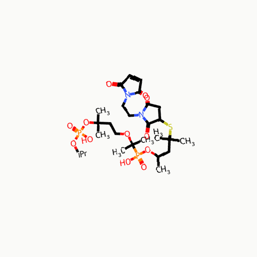 CC(C)OP(=O)(O)OC(C)(C)CCOC(C)(C)P(=O)(O)OC(C)CC(C)(C)SC1CC(=O)N(CCN2C(=O)C=CC2=O)C1=O